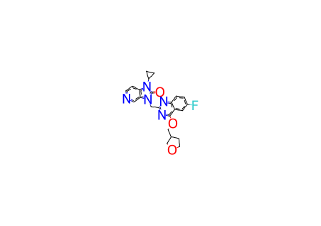 O=c1n(Cc2nc(OCC3CCOC3)c3cc(F)ccc3n2)c2cnccc2n1C1CC1